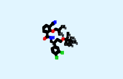 C=C(C)COc1c(C#N)cccc1C(=O)NC[C@@H](CCO[Si](C)(C)C(C)(C)C)c1ccc(Cl)c(Cl)c1